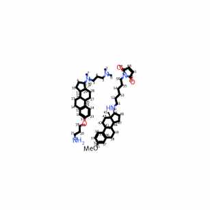 CN(C)CCCN(C)C1CCC2C3CCc4cc(OCCCN)ccc4C3CC[C@@]21C.COc1ccc2c(c1)CCC1C2CC[C@@]2(C)C1CC[C@@H]2NCCCCCCN1C(=O)C=CC1=O